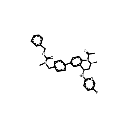 CC(=O)N1c2ccc(-c3ccc(CN(C)C(=O)OCc4ccccc4)cc3)cc2[C@H](Nc2ccc(F)cn2)C[C@@H]1C